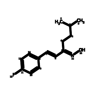 CC(C)CCC(/C=C/c1ccc(F)cc1)=N\O